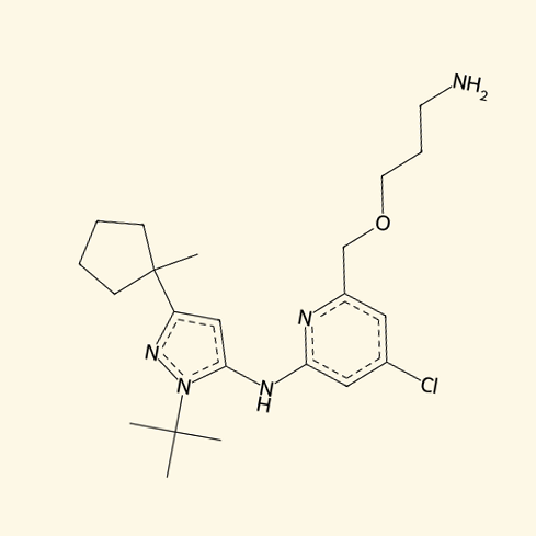 CC1(c2cc(Nc3cc(Cl)cc(COCCCN)n3)n(C(C)(C)C)n2)CCCC1